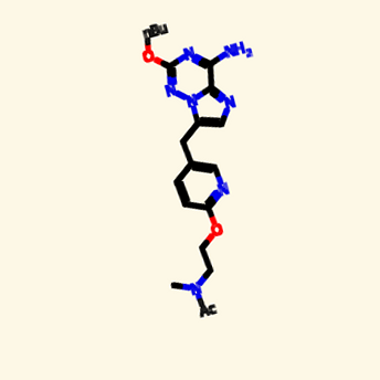 CCCCOc1nc(N)c2ncc(Cc3ccc(OCCN(C)C(C)=O)nc3)n2n1